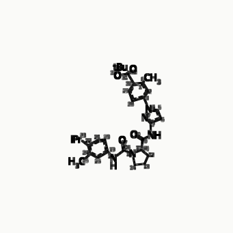 Cc1cc(-n2ccc(NC(=O)[C@H]3CCCN3C(=O)Nc3ccc(C(C)C)c(C)c3)n2)ccc1C(=O)OC(C)(C)C